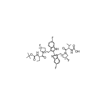 CCC(NC(=O)OC(C)(C)C)C(=O)N1C[C@@H](F)C[C@H]1Cc1c(-c2nc3cc(F)ccc3n2C[C@@H]2C[C@H](F)CN2C(=O)C(NC(=O)O)C(C)C)[nH]c2cc(F)ccc12